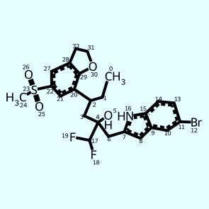 CCC(CC(O)(Cc1cc2cc(Br)ccc2[nH]1)C(F)F)c1cc(S(C)(=O)=O)cc2c1OCC2